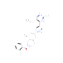 COc1cnc(Cl)nc1-c1cnn(C(CC#N)CC2CCN(C(=O)c3ccc(F)cc3F)CC2)c1